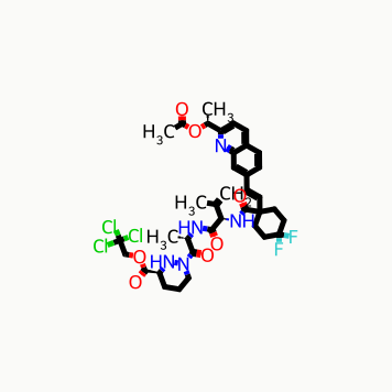 C=C(C)[C@H](NC(=O)C1(/C=C/c2ccc3ccc([C@@H](C)OC(C)=O)nc3c2)CCC(F)(F)CC1)C(=O)N[C@@H](C)C(=O)N1CCC[C@@H](C(=O)OCC(Cl)(Cl)Cl)N1